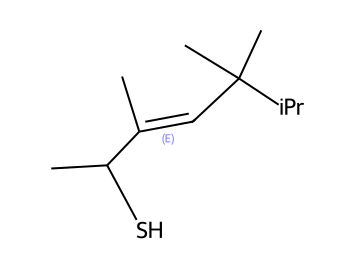 C/C(=C\C(C)(C)C(C)C)C(C)S